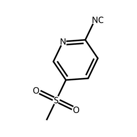 [C-]#[N+]c1ccc(S(C)(=O)=O)cn1